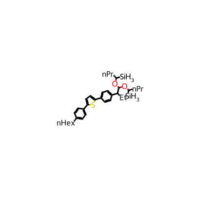 CCCCCCc1ccc(-c2ccc(-c3ccc(C(CC)C(OC([SiH3])CCC)OC([SiH3])CCC)cc3)s2)cc1